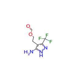 Nc1[nH]nc(C(F)(F)F)c1CCOC=O